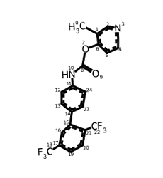 Cc1cnccc1OC(=O)Nc1ccc(-c2cc(C(F)(F)F)ccc2C(F)(F)F)cc1